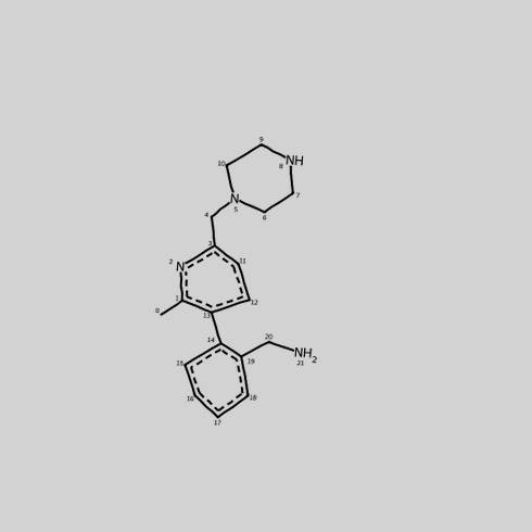 Cc1nc(CN2CCNCC2)ccc1-c1ccccc1CN